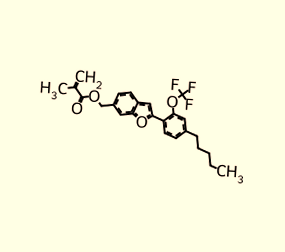 C=C(C)C(=O)OCc1ccc2cc(-c3ccc(CCCCC)cc3OC(F)(F)F)oc2c1